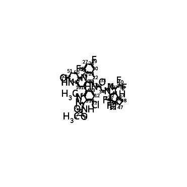 Cn1nc(NS(C)(=O)=O)c2c(Cl)ccc(-c3cc4c(nc3[C@H](Cc3cc(F)cc(F)c3)NC(=O)Cn3nc(C(F)F)c5c3C(F)(F)[C@@H]3CC[C@H]53)CCC(=O)N4)c21